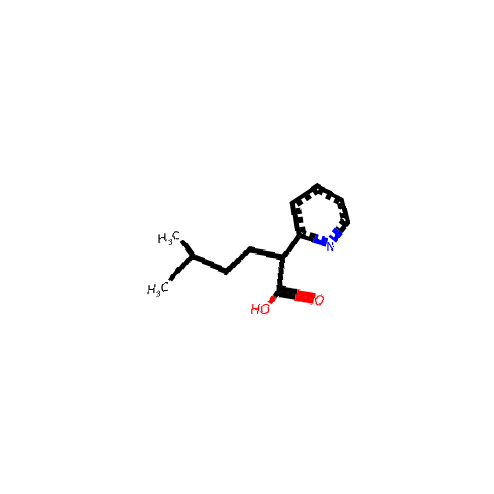 CC(C)CCC(C(=O)O)c1ccccn1